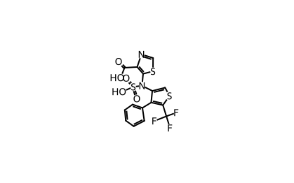 O=C(O)c1ncsc1N(c1csc(C(F)(F)F)c1-c1ccccc1)S(=O)(=O)O